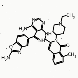 CCN1CCC(n2c(CNc3ncnc(N)c3C(=N)c3ccc4oc(N)nc4c3)cc3cccc(C)c3c2=O)CC1